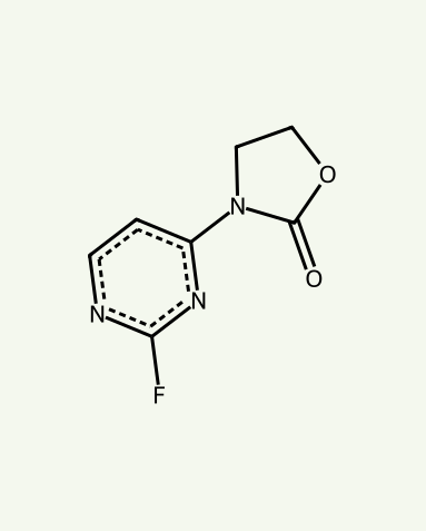 O=C1OCCN1c1ccnc(F)n1